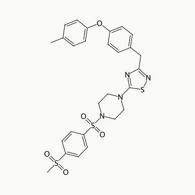 Cc1ccc(Oc2ccc(Cc3nsc(N4CCN(S(=O)(=O)c5ccc(S(C)(=O)=O)cc5)CC4)n3)cc2)cc1